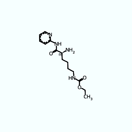 CCOC(=O)NCCCC[C@H](N)C(=O)Nc1ccccn1